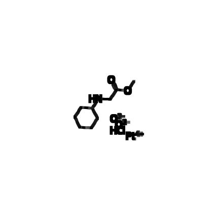 COC(=O)CNC1CCCCC1.Cl.[O-2].[O-2].[Pt+4]